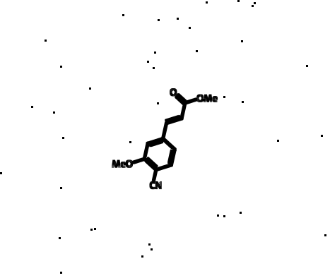 COC(=O)/C=C/c1ccc(C#N)c(OC)c1